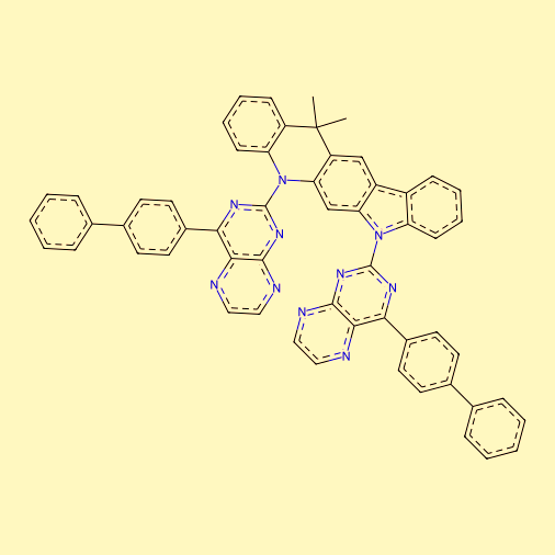 CC1(C)c2ccccc2N(c2nc(-c3ccc(-c4ccccc4)cc3)c3nccnc3n2)c2cc3c(cc21)c1ccccc1n3-c1nc(-c2ccc(-c3ccccc3)cc2)c2nccnc2n1